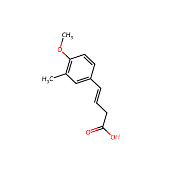 COc1ccc(/C=C/CC(=O)O)cc1C